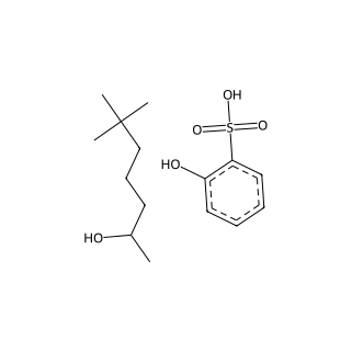 CC(O)CCCC(C)(C)C.O=S(=O)(O)c1ccccc1O